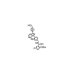 COc1ccc(F)cc1C(O)NCc1ccc(-c2nc(C34CCC(CO)(CC3)CC4)n3ccnc(N)c23)cc1